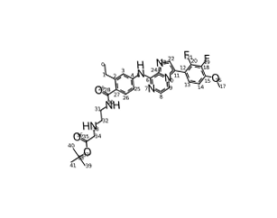 CCc1cc(Nc2nccn3c(-c4ccc(OC)c(F)c4F)cnc23)ccc1C(=O)NCCNCC(=O)OC(C)(C)C